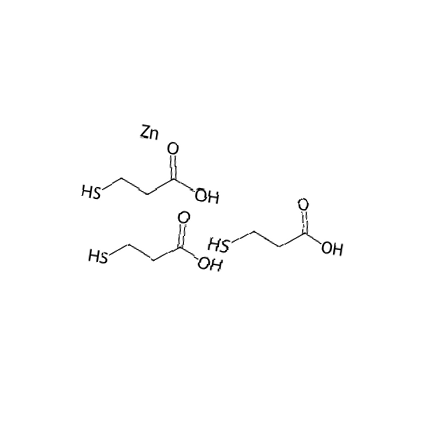 O=C(O)CCS.O=C(O)CCS.O=C(O)CCS.[Zn]